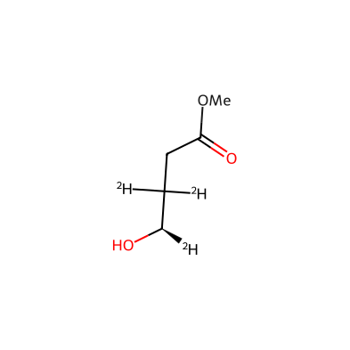 [2H][C@@H](O)C([2H])([2H])CC(=O)OC